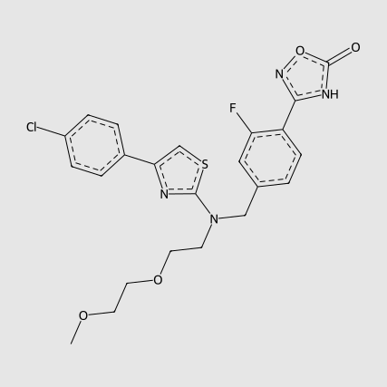 COCCOCCN(Cc1ccc(-c2noc(=O)[nH]2)c(F)c1)c1nc(-c2ccc(Cl)cc2)cs1